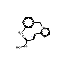 Cc1cccc(Cn2cccc2/C=C/C(=O)NO)c1